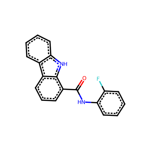 O=C(Nc1ccccc1F)c1cccc2c1[nH]c1ccccc12